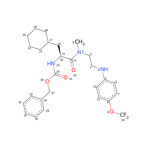 CN(CCNc1ccc(OC(F)(F)F)cc1)C(=O)[C@H](CC1CCCCC1)NC(=O)OCc1ccccc1